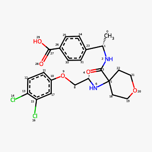 C[C@H](NC(=O)C1(NCCOc2ccc(Cl)c(Cl)c2)CCOCC1)c1ccc(C(=O)O)cc1